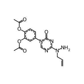 C=CCN(N)c1ncn(-c2ccc(OC(C)=O)c(OC(C)=O)c2)c(=O)n1